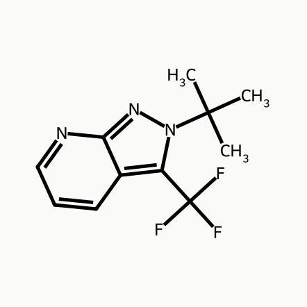 CC(C)(C)n1nc2ncccc2c1C(F)(F)F